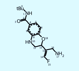 CC(C)(C)NC(=O)c1ccc2c(c1)NCC(/C(=C/F)CN)O2